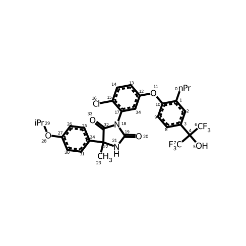 CCCc1cc(C(O)(C(F)(F)F)C(F)(F)F)ccc1Oc1ccc(Cl)c(N2C(=O)NC(C)(c3ccc(OC(C)C)cc3)C2=O)c1